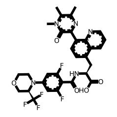 Cc1nc(-c2ccc(C[C@H](NC(=O)c3c(F)cc(N4CCOC[C@@H]4C(F)(F)F)cc3F)C(=O)O)c3cccnc23)c(=O)n(C)c1C